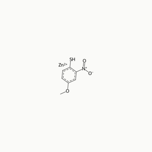 COc1ccc(S)c([N+](=O)[O-])c1.[Zn+2]